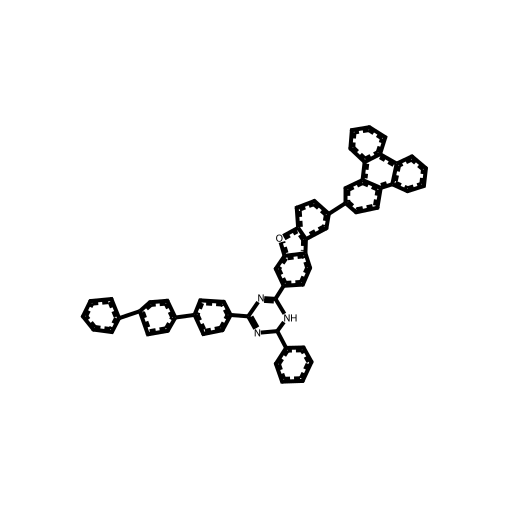 c1ccc(-c2ccc(-c3ccc(C4=NC(c5ccccc5)NC(c5ccc6c(c5)oc5ccc(-c7ccc8c9ccccc9c9ccccc9c8c7)cc56)=N4)cc3)cc2)cc1